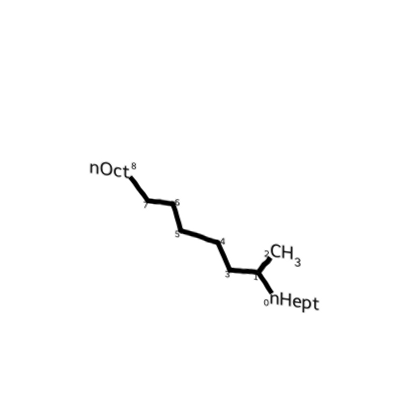 [CH2]CCCCCCC(C)CCCCCCCCCCCCC